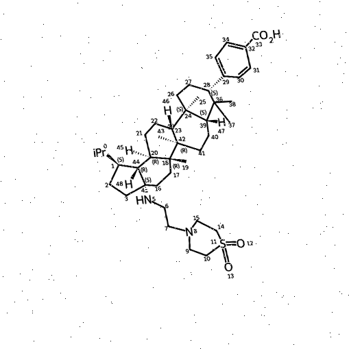 CC(C)[C@@H]1CC[C@]2(NCCN3CCS(=O)(=O)CC3)CC[C@]3(C)[C@H](CC[C@@H]4[C@@]5(C)CC[C@H](c6ccc(C(=O)O)cc6)C(C)(C)[C@@H]5CC[C@]43C)[C@@H]12